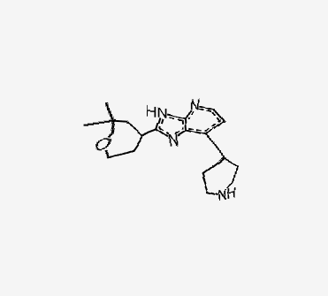 CC1(C)CC(c2nc3c(C4CCNCC4)ccnc3[nH]2)CCO1